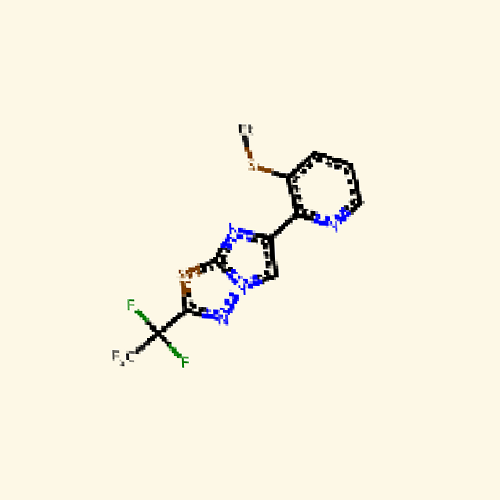 CCSc1cccnc1-c1cn2nc(C(F)(F)C(F)(F)F)sc2n1